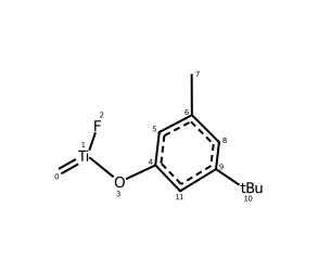 [CH2]=[Ti]([F])[O]c1cc(C)cc(C(C)(C)C)c1